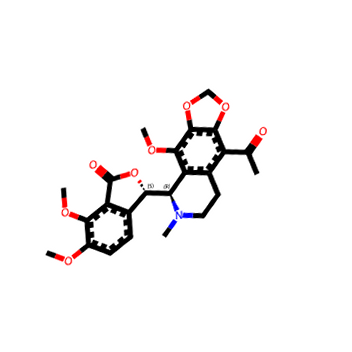 COc1ccc2c(c1OC)C(=O)O[C@@H]2[C@H]1c2c(c(C(C)=O)c3c(c2OC)OCO3)CCN1C